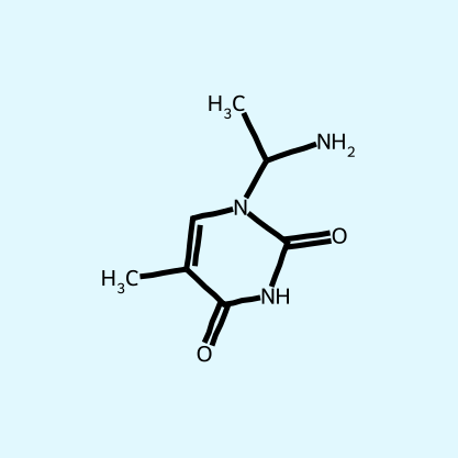 Cc1cn(C(C)N)c(=O)[nH]c1=O